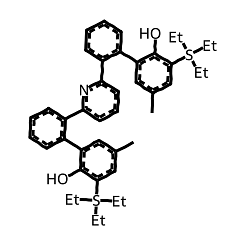 CCS(CC)(CC)c1cc(C)cc(-c2ccccc2-c2cccc(-c3ccccc3-c3cc(C)cc(S(CC)(CC)CC)c3O)n2)c1O